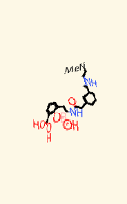 CNCCNCC1CCCC(CC(=O)N[C@H]2Cc3cccc(C(O)O)c3OB2O)C1